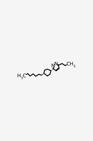 CCCCCCC[C@H]1CC[C@H](c2ccc(CCC)nn2)CC1